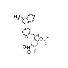 Cn1cc(-c2ccnc(Nc3cc([N+](=O)[O-])c(F)cc3OC(F)F)n2)c2ccccc21